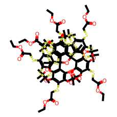 CCOC(=O)CSc1c2c(c(C(OC(c3c4c(c(SCC(=O)OCC)c5c3OC(C)(C)O5)OC(C)(C)O4)(c3c4c(c(SCC(=O)OCC)c5c3SC(C)(C)S5)SC(C)(C)S4)c3c4c(c(SCC(=O)OCC)c5c3SC(C)(C)S5)SC(C)(C)S4)(c3c4c(c(SCC(=O)OCC)c5c3SC(C)(C)S5)SC(C)(C)S4)c3c4c(c(SCC(=O)OCC)c5c3SC(C)(C)S5)SC(C)(C)S4)c3c1OC(C)(C)O3)OC(C)(C)O2